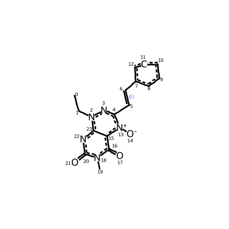 CCn1nc(/C=C/c2ccccc2)[n+]([O-])c2c(=O)n(C)c(=O)nc1-2